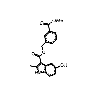 COC(=O)c1cccc(COC(=O)c2c(C)[nH]c3ccc(O)cc23)c1